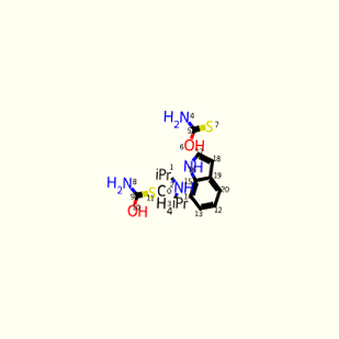 C.CC(C)NC(C)C.NC(O)=S.NC(O)=S.c1ccc2[nH]ccc2c1